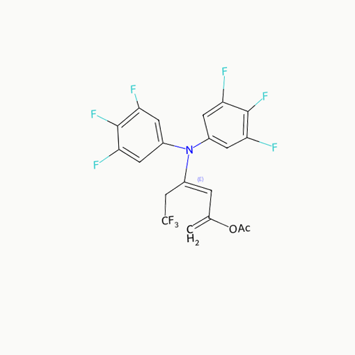 C=C(/C=C(\CC(F)(F)F)N(c1cc(F)c(F)c(F)c1)c1cc(F)c(F)c(F)c1)OC(C)=O